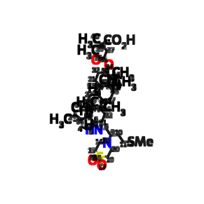 C=C(C)[C@@H]1CC[C@]2(NCC(CCSC)N3CCS(=O)(=O)CC3)CC[C@]3(C)[C@H](CC[C@@H]4[C@@]5(C)CC[C@H](OC(=O)CC(C)(C)C(=O)O)C(C)(C)[C@@H]5CC[C@]43C)[C@@H]12